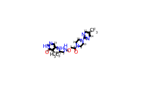 CC(CNOCC(=O)N1CCN(c2ncc(C(F)(F)F)cn2)CC1)Nc1cn[nH]c(=O)c1C(F)(F)F